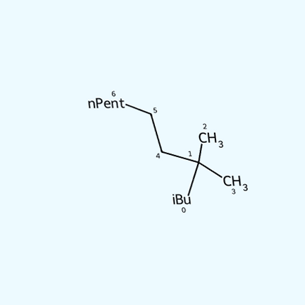 C[CH]C(C)C(C)(C)CCCCCCC